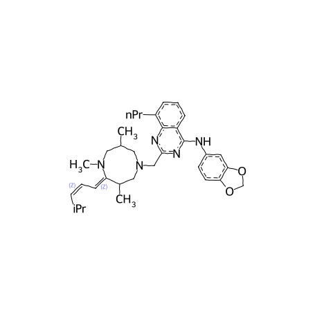 CCCc1cccc2c(Nc3ccc4c(c3)OCO4)nc(CN3CC(C)CN(C)/C(=C\C=C/C(C)C)C(C)C3)nc12